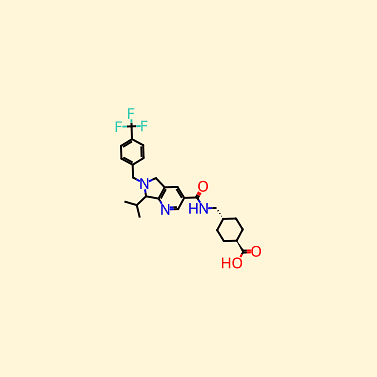 CC(C)C1c2ncc(C(=O)NC[C@H]3CC[C@H](C(=O)O)CC3)cc2CN1Cc1ccc(C(F)(F)F)cc1